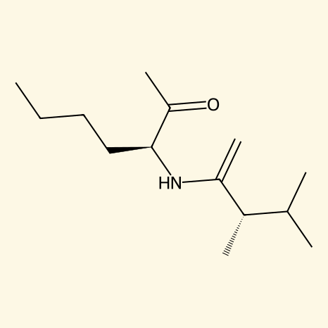 C=C(N[C@@H](CCCC)C(C)=O)[C@@H](C)C(C)C